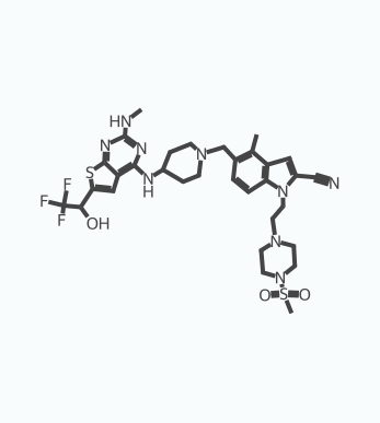 CNc1nc(NC2CCN(Cc3ccc4c(cc(C#N)n4CCN4CCN(S(C)(=O)=O)CC4)c3C)CC2)c2cc(C(O)C(F)(F)F)sc2n1